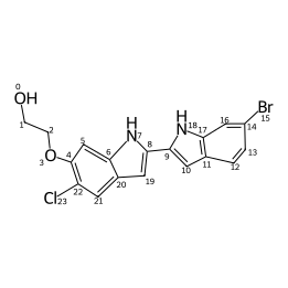 OCCOc1cc2[nH]c(-c3cc4ccc(Br)cc4[nH]3)cc2cc1Cl